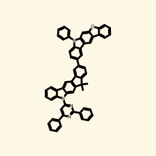 CC1(C)c2ccc(-c3ccc4c(c3)c3cc5c(cc3n4-c3ccccc3)oc3ccccc35)cc2-c2cc3c4ccccc4n(-c4cc(-c5ccccc5)nc(-c5ccccc5)n4)c3cc21